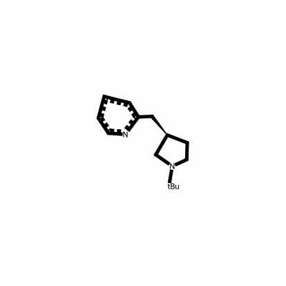 CC(C)(C)N1CC[C@H](Cc2ccccn2)C1